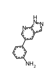 Nc1cccc(-c2cnc3[nH]ncc3c2)c1